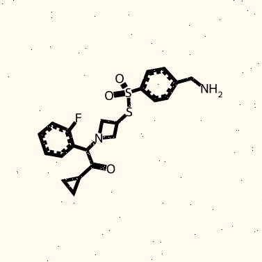 NCc1ccc(S(=O)(=O)SC2CN(C(C(=O)C3CC3)c3ccccc3F)C2)cc1